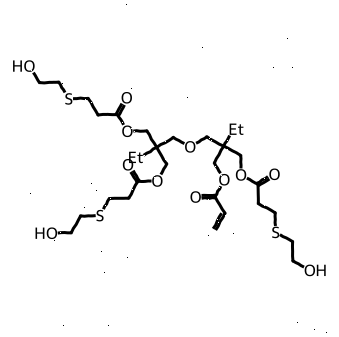 C=CC(=O)OCC(CC)(COCC(CC)(COC(=O)CCSCCO)COC(=O)CCSCCO)COC(=O)CCSCCO